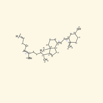 C=CCO/N=C(\CCCC(C)C1=CCC2/C(=C/C=C3/CC(O)CCC3=C)CCCC12C)C(C)(C)C